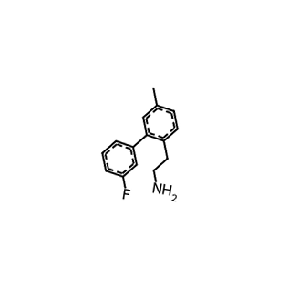 Cc1ccc(CCN)c(-c2cccc(F)c2)c1